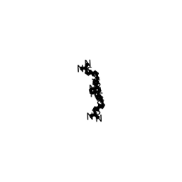 N#CC(C#N)=c1cc/c(=c2/cc/c(=C/c3ccc(-c4ccc(-c5ccc(/C=c6/cc/c(=c7/ccc(=C(C#N)C#N)s7)s6)s5)c5nccnc45)s3)s2)s1